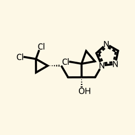 O[C@@](CC[C@@H]1CC1(Cl)Cl)(Cn1cncn1)C1(Cl)CC1